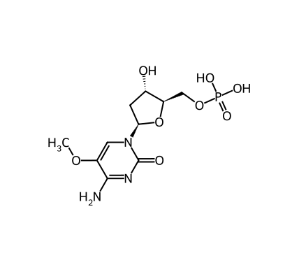 COc1cn([C@H]2C[C@H](O)[C@@H](COP(=O)(O)O)O2)c(=O)nc1N